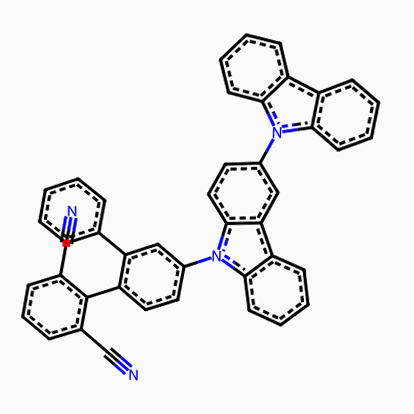 N#Cc1cccc(C#N)c1-c1ccc(-n2c3ccccc3c3cc(-n4c5ccccc5c5ccccc54)ccc32)cc1-c1ccccc1